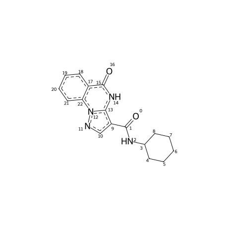 O=C(NC1CCCCC1)c1cnn2c1[nH]c(=O)c1ccccc12